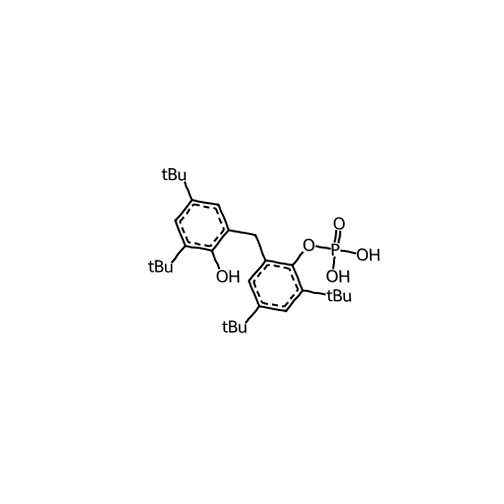 CC(C)(C)c1cc(Cc2cc(C(C)(C)C)cc(C(C)(C)C)c2OP(=O)(O)O)c(O)c(C(C)(C)C)c1